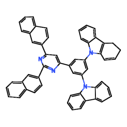 C1=Cc2c(c3ccccc3n2-c2cc(-c3cc(-c4ccc5ccccc5c4)nc(-c4ccc5ccccc5c4)n3)cc(-n3c4ccccc4c4ccccc43)c2)CC1